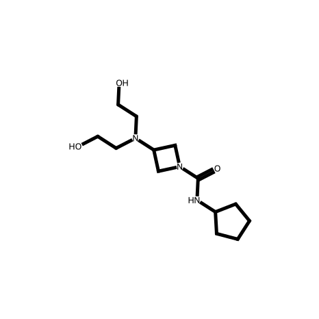 O=C(NC1CCCC1)N1CC(N(CCO)CCO)C1